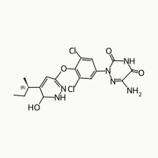 CC[C@@H](C)C1=CC(Oc2c(Cl)cc(-n3nc(N)c(=O)[nH]c3=O)cc2Cl)=NNC1O